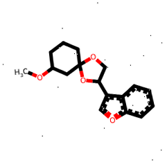 COC1CCCC2(C1)OCC(c1coc3ccccc13)O2